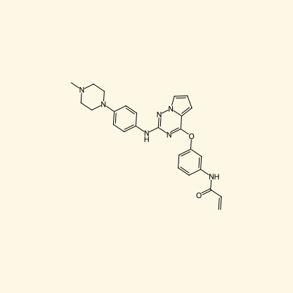 C=CC(=O)Nc1cccc(Oc2nc(Nc3ccc(N4CCN(C)CC4)cc3)nn3cccc23)c1